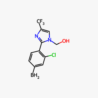 Bc1ccc(-c2nc(C(F)(F)F)cn2CO)c(Cl)c1